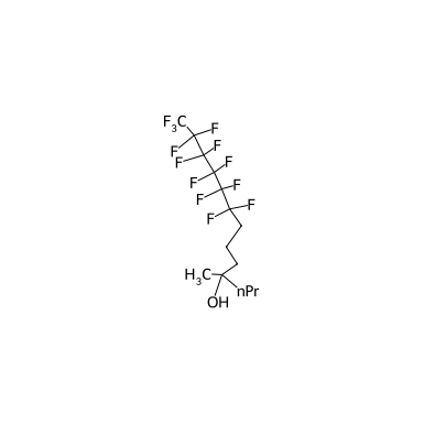 CCCC(C)(O)CCCC(F)(F)C(F)(F)C(F)(F)C(F)(F)C(F)(F)C(F)(F)F